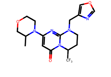 CC1COCCN1c1cc(=O)n2c(n1)N(Cc1cocn1)CCC2C(F)(F)F